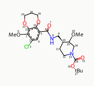 COc1c(Cl)cc(C(=O)NC[C@@H]2CCN(C(=O)OC(C)(C)C)CC2OC)c2c1OCCCO2